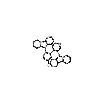 N#Cc1ccc(-n2c3ccccc3c3ccccc32)c(-c2ccncc2-n2c3ccccc3c3ccccc32)c1